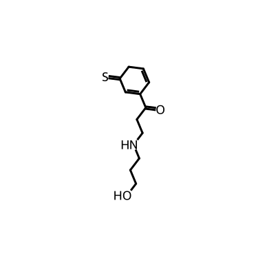 O=C(CCNCCCO)C1=CC(=S)CC=C1